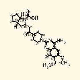 COc1cc2c(N)nc(N3CCN(C(=O)C[C@@H]4C[C@@H]5CCC[C@@H]5N4C(=O)O)CC3)nc2c(F)c1OC